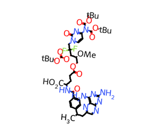 CO[C@H](COC(=O)CCC(NC(=O)c1ccc(C(C)Cc2cnc3nc(N)nc(N)c3n2)cc1)C(=O)O)[C@H](OC(=O)OC(C)(C)C)C(F)(F)Cn1ccc(N(C(=O)OC(C)(C)C)C(=O)OC(C)(C)C)nc1=O